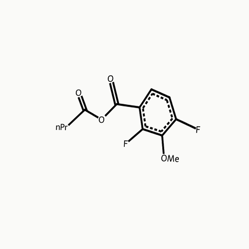 CCCC(=O)OC(=O)c1ccc(F)c(OC)c1F